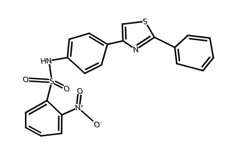 O=[N+]([O-])c1ccccc1S(=O)(=O)Nc1ccc(-c2csc(-c3ccccc3)n2)cc1